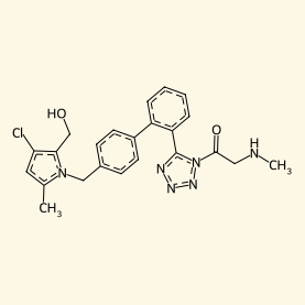 CNCC(=O)n1nnnc1-c1ccccc1-c1ccc(Cn2c(C)cc(Cl)c2CO)cc1